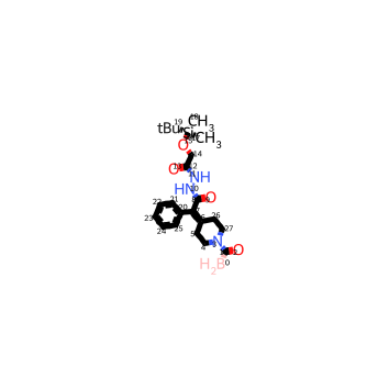 BC(=O)N1CCC(=C(C(=O)NNC(=O)CO[Si](C)(C)C(C)(C)C)c2ccccc2)CC1